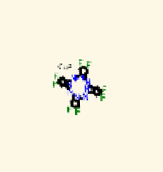 Fc1cc2c(cc1F)-c1nc-2nc2nc(nc3[n-]c(nc4[n-]c(n1)c1cc(F)c(F)cc41)c1cc(F)c(F)cc31)-c1cc(F)c(F)cc1-2.[Cu+2]